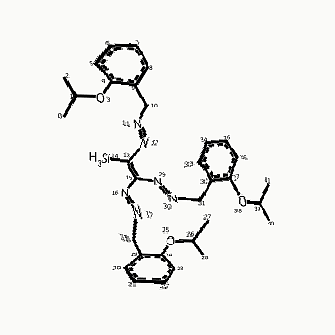 CC(C)Oc1ccccc1CN=NC([SiH3])=C(N=NCc1ccccc1OC(C)C)N=NCc1ccccc1OC(C)C